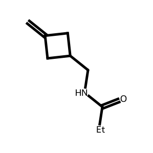 C=C1CC(CNC(=O)CC)C1